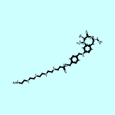 CC(=O)NCCOCCOCCOCCOCCC(=O)NCc1ccc(COc2ccc3c(c2)N(C)[C@@H](C(C)C)C(=O)N[C@H](CO)C3)cc1